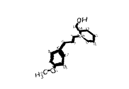 COc1ccc(CCCN2CCCCC2CO)cc1